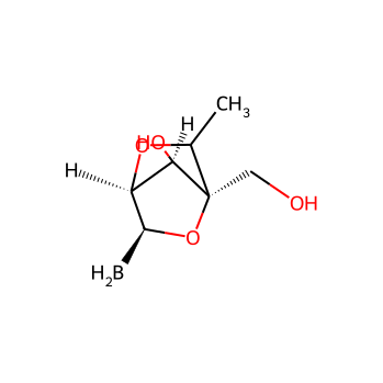 B[C@@H]1O[C@]2(CO)C(C)O[C@H]1[C@H]2O